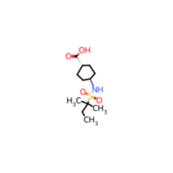 CCC(C)(C)S(=O)(=O)N[C@H]1CC[C@H](C(=O)O)CC1